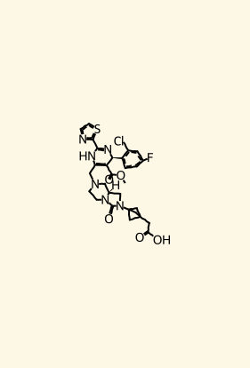 COC(=O)C1=C(CN2CCN3C(=O)N(C45CC(CC(=O)O)(C4)C5)C[C@@H]3C2)NC(c2nccs2)=N[C@H]1c1ccc(F)cc1Cl